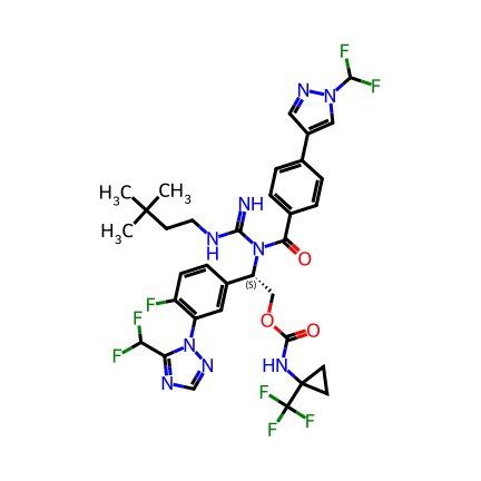 CC(C)(C)CCNC(=N)N(C(=O)c1ccc(-c2cnn(C(F)F)c2)cc1)[C@H](COC(=O)NC1(C(F)(F)F)CC1)c1ccc(F)c(-n2ncnc2C(F)F)c1